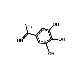 N=C(N)c1cc(O)c(O)c(O)c1